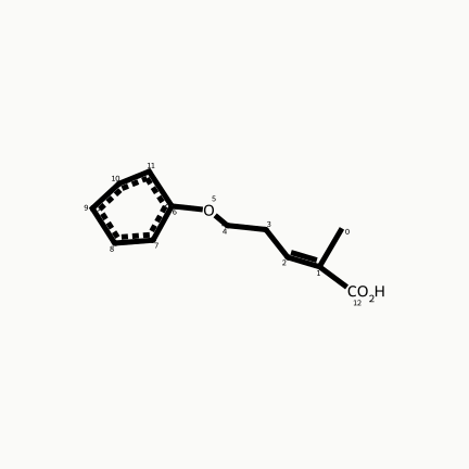 CC(=CC[CH]Oc1ccccc1)C(=O)O